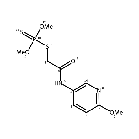 COc1ccc(NC(=O)CSP(=S)(OC)OC)cn1